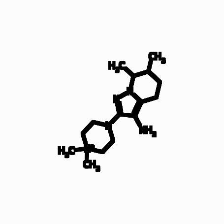 CC1CCc2c(N)c(N3CC[N+](C)(C)CC3)nn2C1C